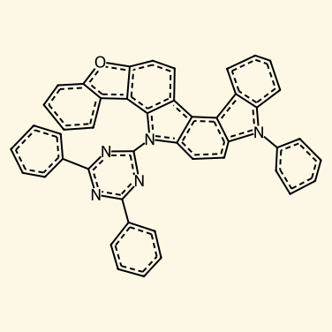 c1ccc(-c2nc(-c3ccccc3)nc(-n3c4ccc5c(c6ccccc6n5-c5ccccc5)c4c4ccc5oc6ccccc6c5c43)n2)cc1